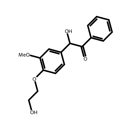 COc1cc(C(O)C(=O)c2ccccc2)ccc1OCCO